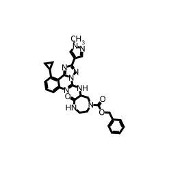 Cn1cc(-c2nc3c4c(C5CC5)cccc4nc(NC4CN(C(=O)OCc5ccccc5)CCNC4=O)n3n2)cn1